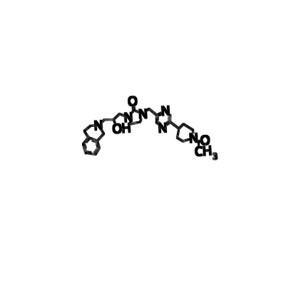 CC(=O)N1CCC(c2cnc(CN3CCN(CC(O)CN4CCc5ccccc5C4)C3=O)cn2)CC1